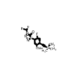 COc1cc(-n2nnn(C(F)F)c2=O)c(F)cc1C#C[Si](C)(C)C